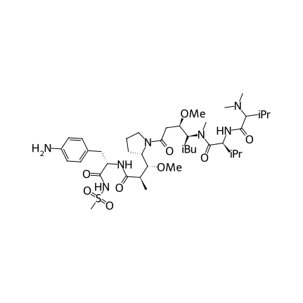 CC[C@H](C)[C@@H]([C@@H](CC(=O)N1CCC[C@H]1[C@H](OC)[C@@H](C)C(=O)N[C@@H](Cc1ccc(N)cc1)C(=O)NS(C)(=O)=O)OC)N(C)C(=O)[C@@H](NC(=O)C(C(C)C)N(C)C)C(C)C